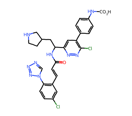 O=C(O)Nc1ccc(-c2cc(C(CC3CCNC3)NC(=O)/C=C/c3cc(Cl)ccc3-n3cnnn3)nnc2Cl)cc1